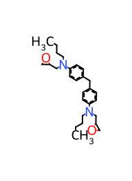 CCCCN(CC1CO1)c1ccc(Cc2ccc(N(CCCC)CC3CO3)cc2)cc1